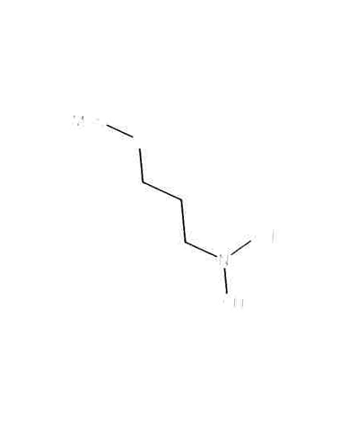 CSSCCCN(C)C